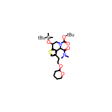 CN(C)C(=O)C1c2c(CCOC3CCCCO3)csc2C(O[Si](C)(C)C(C)(C)C)CN1C(=O)OC(C)(C)C